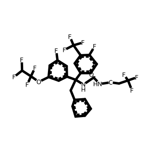 O=C(NCCC(F)(F)F)NC(Cc1ccccc1)(c1cc(F)cc(OC(F)(F)C(F)F)c1)c1ccc(F)c(C(F)(F)F)c1